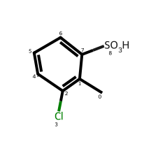 Cc1c(Cl)[c]ccc1S(=O)(=O)O